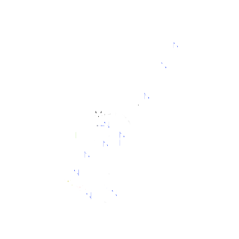 COc1cc(N2CCC(N3CCN(C)CC3)CC2)c(C)cc1Nc1ncc(F)c(Nc2ccc3nccnc3c2N(C)S(C)(=O)=O)n1